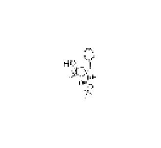 C=CCC(CC(=O)O)(Cc1ccccc1)NC(=O)OC(C)(C)C